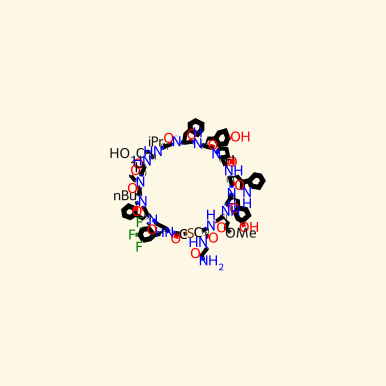 CCCC[C@H]1C(=O)N2CCO[C@@H]2C(=O)N[C@@H](CC(=O)O)N[C@@H](C(C)C)C(=O)N(C)C(Cc2ccccc2)C(=O)N[C@@H](Cc2ccc(O)cc2)C(=O)N2CCC[C@@H]2C(=O)N[C@@H](Cc2c[nH]c3ccccc23)C(=O)N[C@@H](Cc2ccc(O)cc2)C(=O)N[C@@H](CCOC)C(=O)N[C@H](C(=O)NCC(N)=O)CSCC(=O)N[C@@H](Cc2cc(F)c(F)c(F)c2)C(=O)N(C)[C@@H](Cc2ccccc2)C(=O)N1C